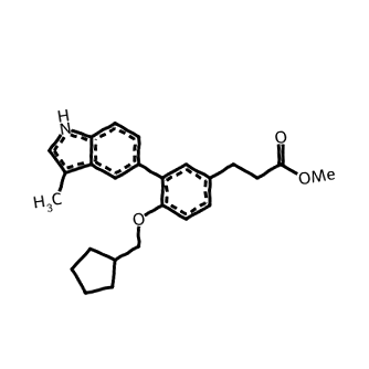 COC(=O)CCc1ccc(OCC2CCCC2)c(-c2ccc3[nH]cc(C)c3c2)c1